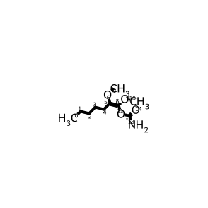 CCCCCC(OC)=C(OC)OC(N)=O